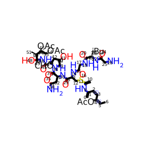 C=C(/C=C\C(=C/C)OC(C)=O)NC(=C)SCC(NC(=O)CNC(=O)[C@@H](NC(=O)CN)[C@@H](C)CC)C(=O)NC(CC(N)=O)C(=O)N1C[C@H](O)C[C@H]1C(=O)NC(O)(C=O)[C@@H](C)[C@H](COC(C)=O)OC(C)=O